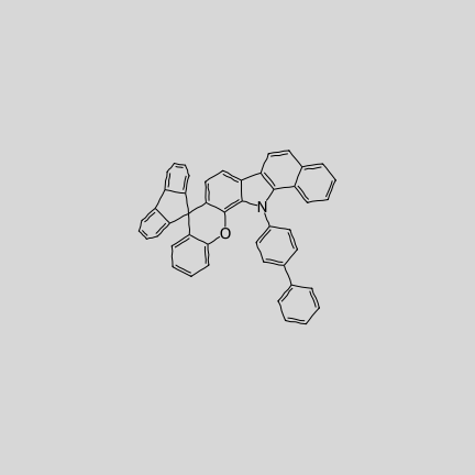 c1ccc(-c2ccc(-n3c4c5c(ccc4c4ccc6ccccc6c43)C3(c4ccccc4O5)c4ccccc4-c4ccccc43)cc2)cc1